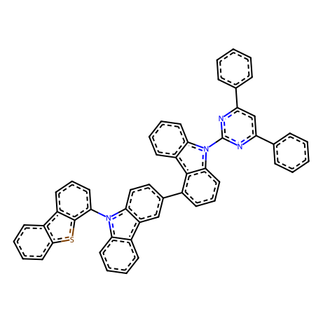 c1ccc(-c2cc(-c3ccccc3)nc(-n3c4ccccc4c4c(-c5ccc6c(c5)c5ccccc5n6-c5cccc6c5sc5ccccc56)cccc43)n2)cc1